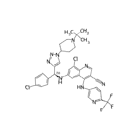 CC(C)(C)N1CCC(n2cc([C@@H](Nc3cc(Cl)c4ncc(C#N)c(Nc5ccc(C(F)(F)F)nc5)c4c3)c3ccc(Cl)cc3)nn2)CC1